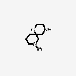 CC(C)N1CCCC2(CNCCO2)C1